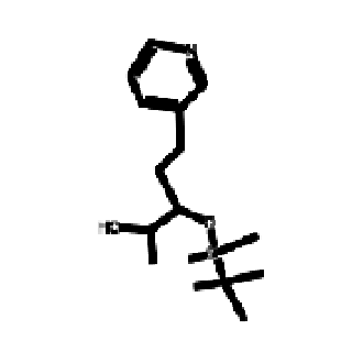 CC(O)C(CCc1cccnc1)O[Si](C)(C)C(C)(C)C